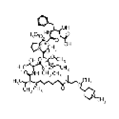 CC[C@H](C)[C@@H]([C@@H](CC(=O)N1CCC[C@H]1[C@H](OC)[C@@H](C)C(=O)NC(Cc1ccccc1)C(O)CC(=O)O)OC)N(C)C(=O)C(NC(=O)[C@H](C(C)C)N(C)CCCCCC(=O)NCCN(C)CC1CCN(C)CC1)C(C)C